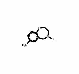 CN1CCOc2ccc(N)cc2S1